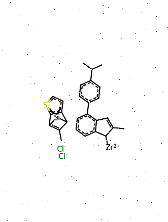 CC1=C2c3sccc3C1[Si]2(C)C.CC1=Cc2c(-c3ccc(C(C)C)cc3)cccc2[CH]1[Zr+2].[Cl-].[Cl-]